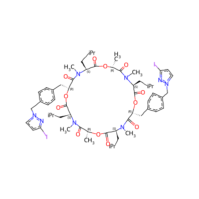 CC(C)C[C@H]1C(=O)O[C@H](Cc2ccc(Cn3ccc(I)n3)cc2)C(=O)N(C)[C@@H](CC(C)C)C(=O)O[C@H](C)C(=O)N(C)[C@@H](CC(C)C)C(=O)O[C@H](Cc2ccc(Cn3ccc(I)n3)cc2)C(=O)N(C)[C@@H](CC(C)C)C(=O)O[C@H](C)C(=O)N1C